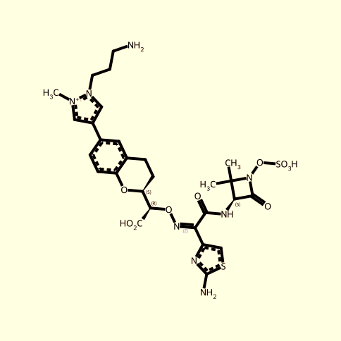 C[n+]1cc(-c2ccc3c(c2)CC[C@@H]([C@@H](O/N=C(\C(=O)N[C@@H]2C(=O)N(OS(=O)(=O)O)C2(C)C)c2csc(N)n2)C(=O)O)O3)cn1CCCN